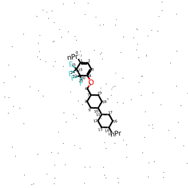 CCCC1=CC=C(OCC2CCC(C3CCC(CCC)CC3)CC2)C(F)(F)C1(F)F